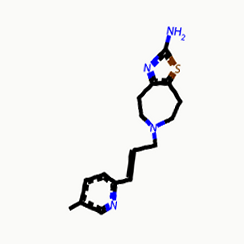 Cc1ccc(C=CCN2CCc3nc(N)sc3CC2)nc1